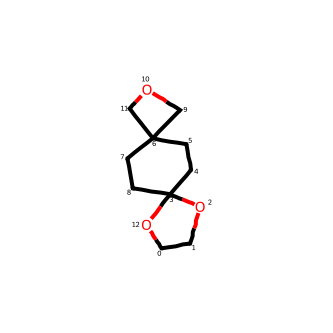 C1COC2(CCC3(CC2)COC3)O1